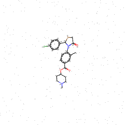 Cc1cc(C(=O)OC2CCN(C)CC2)ccc1N1C(=O)CSC1c1ccc(F)cc1